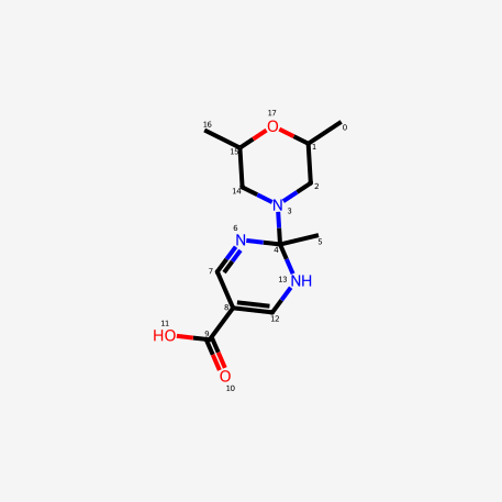 CC1CN(C2(C)N=CC(C(=O)O)=CN2)CC(C)O1